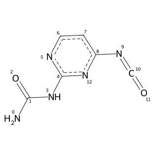 NC(=O)Nc1nccc(N=C=O)n1